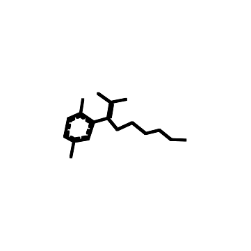 CCCCCCC(=C(C)C)c1cc(C)ccc1C